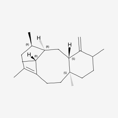 C=C1C(C)CC[C@@]2(C)CCC3=C(C)C[C@@H](C)[C@@H](C[C@H]12)[C@H]3C